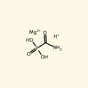 NC(=O)P(=O)(O)O.[H+].[Mg+2]